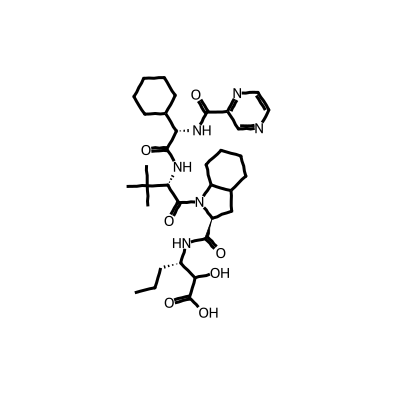 CCC[C@H](NC(=O)[C@@H]1CC2CCCCC2N1C(=O)[C@@H](NC(=O)[C@@H](NC(=O)c1cnccn1)C1CCCCC1)C(C)(C)C)C(O)C(=O)O